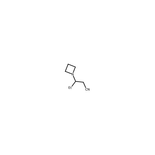 CCC(CC#N)N1CCC1